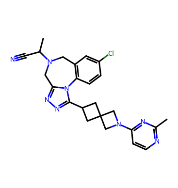 Cc1nccc(N2CC3(CC(c4nnc5n4-c4ccc(Cl)cc4CN(C(C)C#N)C5)C3)C2)n1